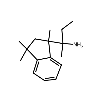 CCC(C)(N)C1(C)CC(C)(C)c2ccccc21